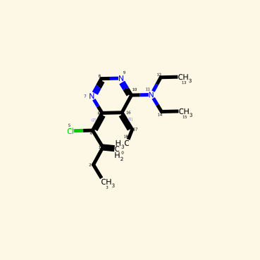 C=C(CC)/C(Cl)=c1/ncnc(N(CC)CC)/c1=C/C